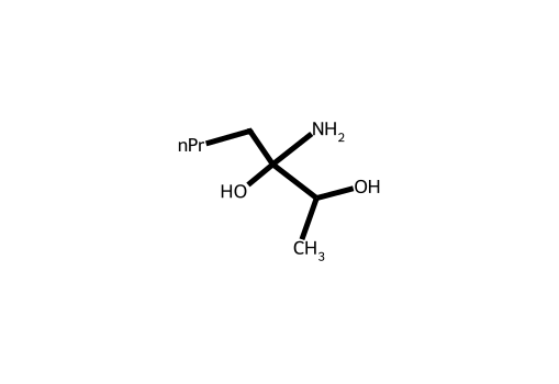 CCCCC(N)(O)C(C)O